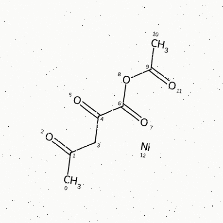 CC(=O)CC(=O)C(=O)OC(C)=O.[Ni]